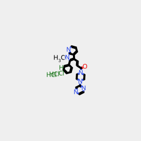 Cl.Cl.Cl.Cn1c(-c2ccccc2)c(C=CC(=O)N2CCN(c3cnccn3)CC2)c2cccnc21